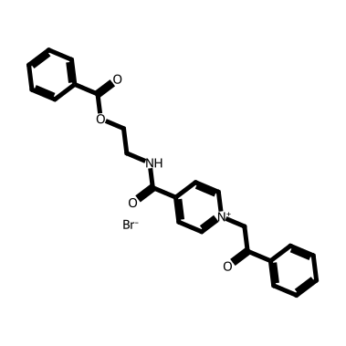 O=C(C[n+]1ccc(C(=O)NCCOC(=O)c2ccccc2)cc1)c1ccccc1.[Br-]